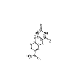 NC(=O)c1ccc2c(c1)Cc1c([nH]c(=S)[nH]c1=O)O2